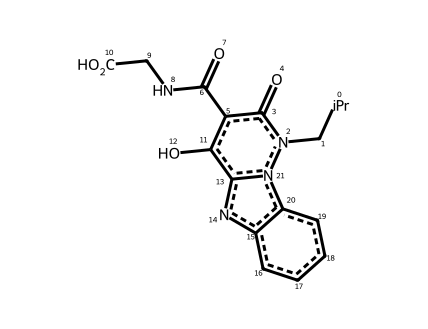 CC(C)Cn1c(=O)c(C(=O)NCC(=O)O)c(O)c2nc3ccccc3n21